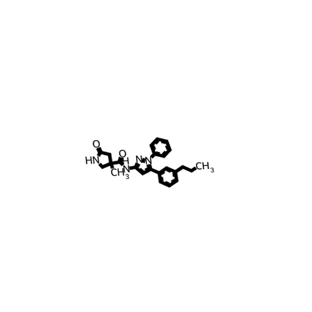 CCCc1cccc(-c2cc(NC(=O)C3(C)CNC(=O)C3)nn2-c2ccccc2)c1